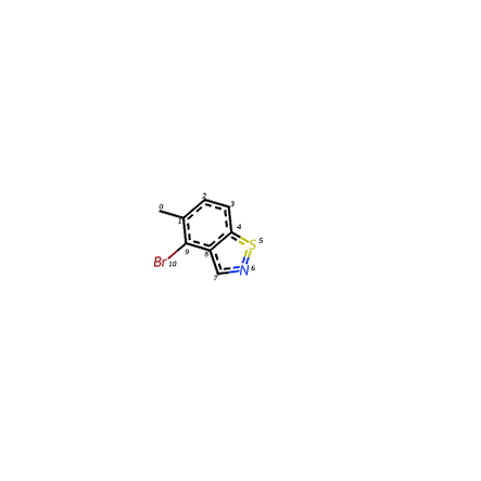 Cc1ccc2sncc2c1Br